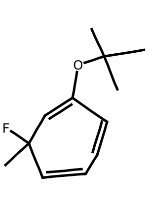 CC1(F)C=CC=CC(OC(C)(C)C)=C1